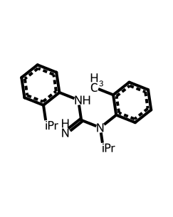 Cc1ccccc1N(C(=N)Nc1ccccc1C(C)C)C(C)C